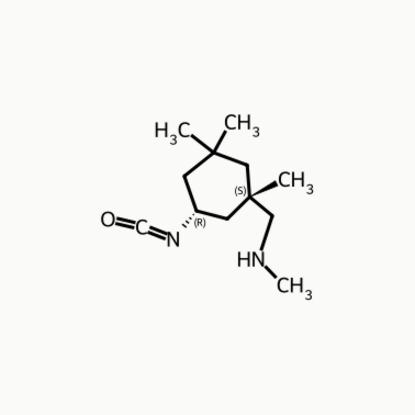 CNC[C@]1(C)C[C@H](N=C=O)CC(C)(C)C1